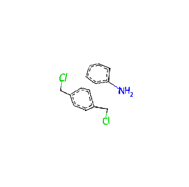 ClCc1ccc(CCl)cc1.Nc1ccccc1